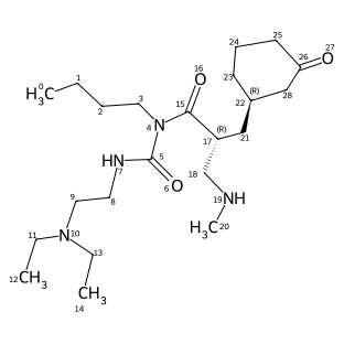 CCCCN(C(=O)NCCN(CC)CC)C(=O)[C@@H](CNC)C[C@H]1CCCC(=O)C1